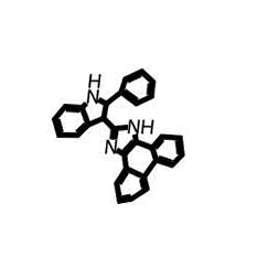 c1ccc(C2Nc3ccccc3C2c2nc3c4ccccc4c4ccccc4c3[nH]2)cc1